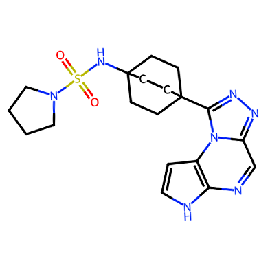 O=S(=O)(NC12CCC(c3nnc4cnc5[nH]ccc5n34)(CC1)CC2)N1CCCC1